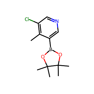 Cc1c(Cl)cncc1B1OC(C)(C)C(C)(C)O1